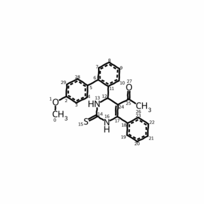 COc1ccc(-c2ccccc2C2NC(=S)NC(c3ccccc3)=C2C(C)=O)cc1